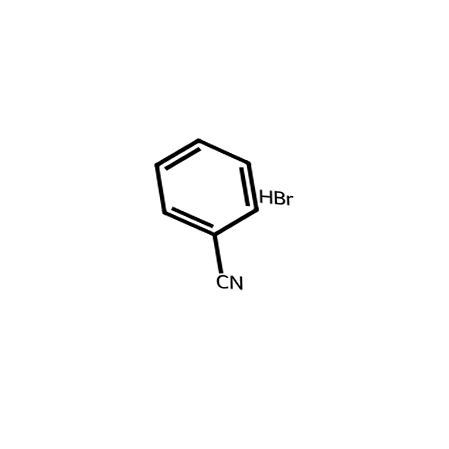 Br.N#Cc1ccccc1